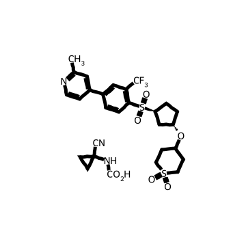 Cc1cc(-c2ccc(S(=O)(=O)[C@H]3CC[C@H](OC4CCS(=O)(=O)CC4)C3)c(C(F)(F)F)c2)ccn1.N#CC1(NC(=O)O)CC1